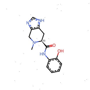 CN1Cc2nc[nH]c2C[C@H]1C(=O)Nc1ccccc1O